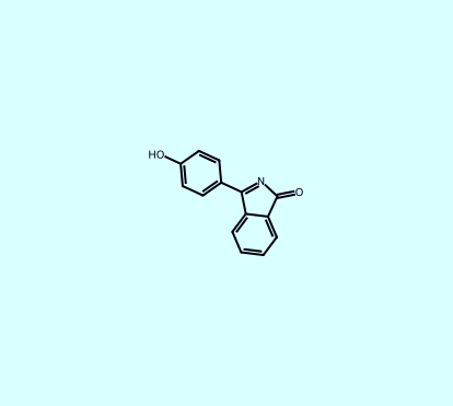 O=C1N=C(c2ccc(O)cc2)c2ccccc21